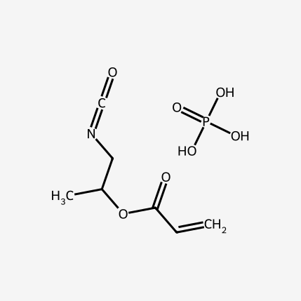 C=CC(=O)OC(C)CN=C=O.O=P(O)(O)O